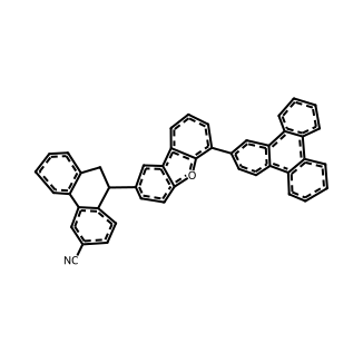 N#Cc1ccc2c(c1)-c1ccccc1CC2c1ccc2oc3c(-c4ccc5c6ccccc6c6ccccc6c5c4)cccc3c2c1